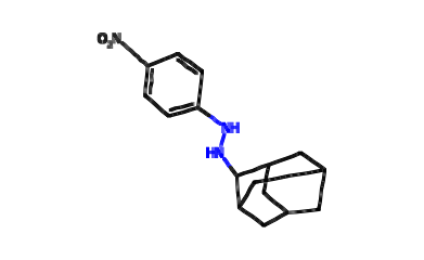 O=[N+]([O-])c1ccc(NNC2C3CC4CC(C3)CC2C4)cc1